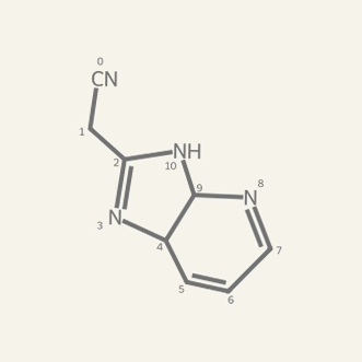 N#CCC1=NC2C=CC=NC2N1